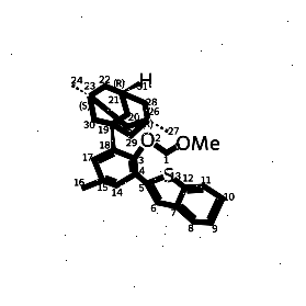 COCOc1c(-c2cc3ccccc3s2)cc(C)cc1[C@@]12C[C@@H]3C[C@@](C)(C[C@@](C)(C3)C1)C2